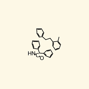 Cc1ccccc1CCc1ccccc1.N=C=O.c1ccc(Cc2ccccc2)cc1